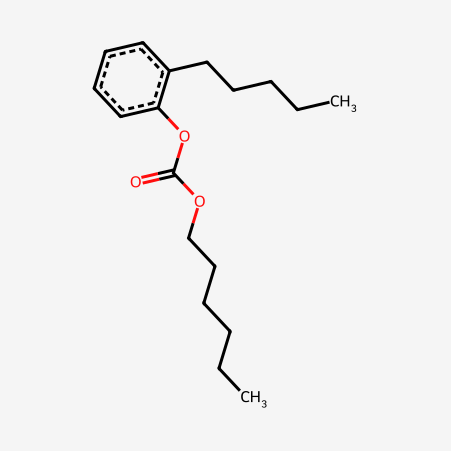 CCCCCCOC(=O)Oc1ccccc1CCCCC